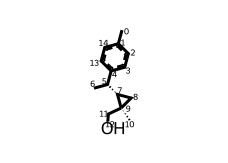 Cc1ccc(C(C)[C@@H]2C[C@@]2(C)CO)cc1